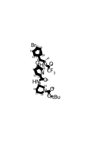 C[C@H](NC(=O)C(F)(F)F)[C@H](Oc1ccc(C(=O)N[C@H]2CCCN(C(=O)OC(C)(C)C)C2)nc1)c1ccc(Br)cc1